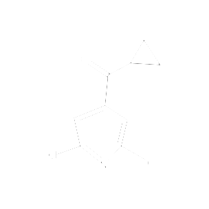 O=C(c1cc(Cl)nc(Cl)c1)C1CC1